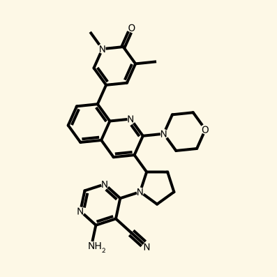 Cc1cc(-c2cccc3cc(C4CCCN4c4ncnc(N)c4C#N)c(N4CCOCC4)nc23)cn(C)c1=O